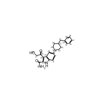 NC(=O)c1[nH]c2ccc(N3CCC(Cc4ccccc4)CC3)cc2c1C(=O)CO